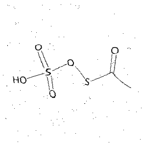 CC(=O)SOS(=O)(=O)O